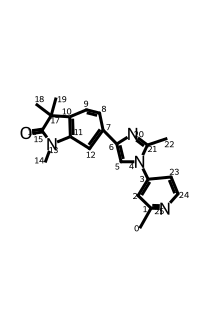 Cc1cc(-n2cc(-c3ccc4c(c3)N(C)C(=O)C4(C)C)nc2C)ccn1